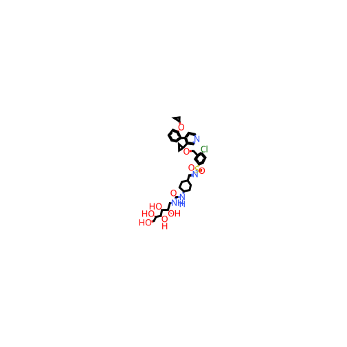 O=C(NC[C@H](O)[C@@H](O)[C@H](O)[C@H](O)CO)NC1CCC(/C=N/S(=O)(=O)c2ccc(Cl)c(COC3(c4cnccc4-c4ccccc4OC4CC4)CC3)c2)CC1